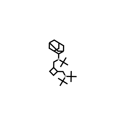 CC(C)(C)P(CC1CCC1CP(C(C)(C)C)C(C)(C)C)C1C2CC3CC(C2)CC1C3